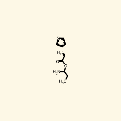 C=CC(=O)OC(N)CC.c1ccsc1